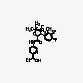 CC[C@H](O)c1ccc(NC(=O)[C@H]2OC(C)(C)[C@H](C)[C@@H]2c2ccc(F)c(F)c2C)cn1